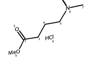 COC(=O)CCCN(C)C.Cl